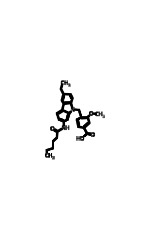 CCCCCC(=O)Nc1ccc2c3cc(CC)ccc3n(Cc3ccc(C(=O)O)cc3OC)c2c1